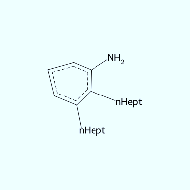 CCCCCCCc1cccc(N)c1CCCCCCC